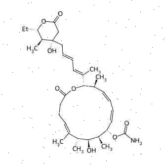 CC[C@@H]1OC(=O)C[C@@](O)(C/C=C/C=C(\C)[C@H]2OC(=O)CC/C=C(\C)[C@@H](C)[C@H](O)[C@H](C)[C@@H](OC(N)=O)/C=C\C=C/[C@@H]2C)[C@H]1C